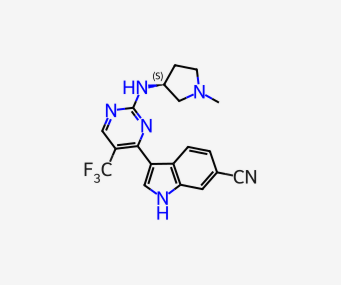 CN1CC[C@H](Nc2ncc(C(F)(F)F)c(-c3c[nH]c4cc(C#N)ccc34)n2)C1